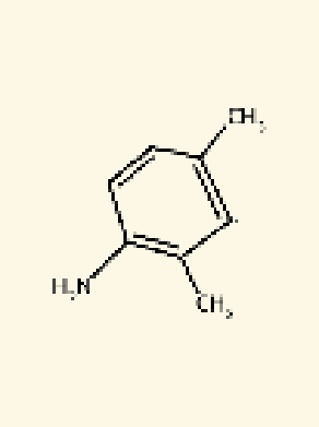 Cc1[c]c(C)c(N)cc1